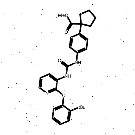 COC(=O)C1(c2ccc(NC(=O)Nc3cccnc3Oc3ccccc3C(C)(C)C)cc2)CCCC1